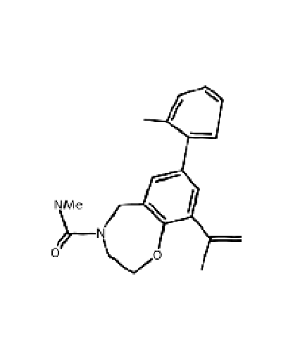 C=C(C)c1cc(-c2ccccc2C)cc2c1OCCN(C(=O)NC)C2